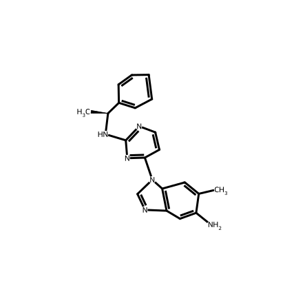 Cc1cc2c(cc1N)ncn2-c1ccnc(N[C@@H](C)c2ccccc2)n1